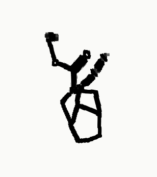 CC(C)(C)OC(=O)N1CC2CCC(C1)C2N=[N+]=[N-]